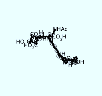 CC(=O)NCCCC[C@H](NC(=O)[C@H](CCCCNC(=O)CN1CCN(CC(=O)O)CCN(CC(=O)O)CCN(CC(=O)O)CC1)NC(=O)CCOCCOCCOCCNC(=O)COc1ccc2c(C(=O)NCC(=O)N3CCC[C@H]3B(O)O)ccnc2c1)C(=O)O